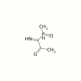 CC(=O)C(=N)[PH](C)=O